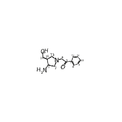 NC1CN(CC(=O)c2ccccc2)CC1CO